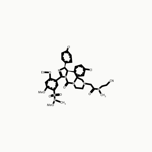 CCOc1cc(OC)c(S(=O)(=O)N(C)OC)cc1C1=N[C@@H](c2ccc(Cl)cc2)[C@@H](c2ccc(Cl)cc2)N1C(=O)N1CCN(CC(=O)N(C)CCC#N)CC1